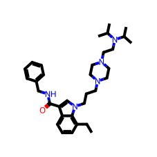 CCc1cccc2c(C(=O)NCc3ccccc3)cn(CCCN3CCN(CCN(C(C)C)C(C)C)CC3)c12